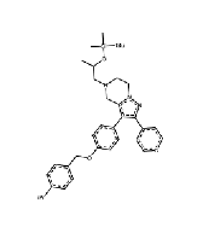 CC(CN1CCn2nc(-c3ccncc3)c(-c3ccc(OCc4ccc(C(C)C)cc4)cc3)c2C1)O[Si](C)(C)C(C)(C)C